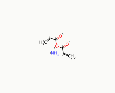 C=CC(=O)OC(=O)C=C.N